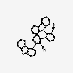 N#Cc1cccc(-c2cccc(-c3cccc4sc5ccccc5c34)c2C#N)c1-n1c2ccccc2c2ccccc21